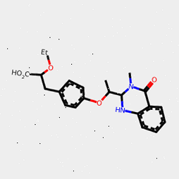 CCOC(Cc1ccc(OC(C)C2Nc3ccccc3C(=O)N2C)cc1)C(=O)O